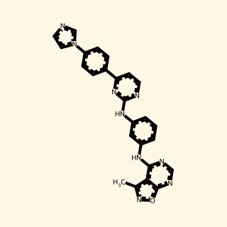 Cc1noc2ncnc(Nc3cccc(Nc4nccc(-c5ccc(-n6ccnc6)cc5)n4)c3)c12